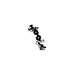 COC(=O)[C@@H](NS(=O)(=O)c1ccc(-c2ccc(NC(=O)c3cc4c(C)nn(C)c4s3)cc2)cc1)C(C)C